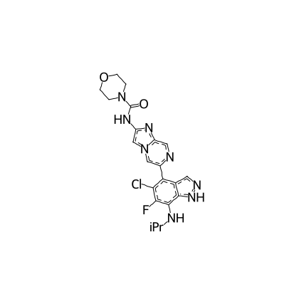 CC(C)Nc1c(F)c(Cl)c(-c2cn3cc(NC(=O)N4CCOCC4)nc3cn2)c2cn[nH]c12